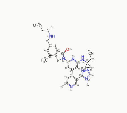 COC[C@H](C)NCc1cc2c(c(C(F)(F)F)c1)CN(c1cc(-c3cc(C)ncc3-c3nncn3C)cc(NC3(CC#N)CC3)n1)C2=O